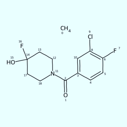 C.O=C(c1ccc(F)c(Cl)c1)N1CCC(O)(F)CC1